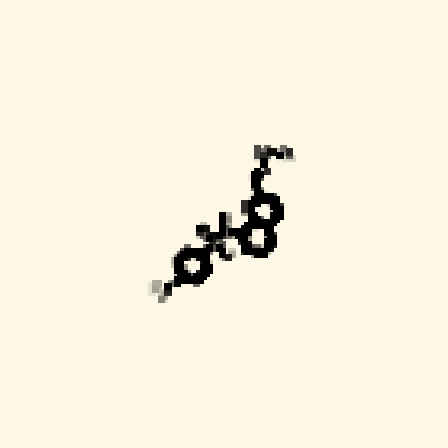 CC(=O)N/N=C/c1ccc2cccc(NS(=O)(=O)c3ccc(C(F)(F)F)cc3)c2n1